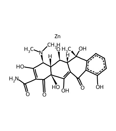 CN(C)[C@@H]1C(O)=C(C(N)=O)C(=O)[C@@]2(O)C(O)=C3C(=O)c4c(O)cccc4[C@@](C)(O)[C@H]3[C@H](O)[C@@H]12.[Zn]